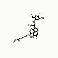 COC(=O)CCOCCOC(=O)c1c(O)c(O)cc2occ(/C(C)=C/Nc3cc(O)c(O)cc3C=O)c(=O)c12